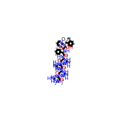 N=C(N)NC(NC(=O)C(NC(=N)N)NC(=O)C(NC(=N)N)NC(=O)C(NC(=N)N)NC(=O)C(NC(=O)C(O)N(Cc1ccccc1[N+](=O)[O-])c1ncccn1)c1ccccc1)C(N)=O